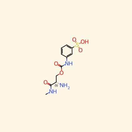 CNC(=O)[C@@H](N)COC(=O)Nc1cccc(S(=O)(=O)O)c1